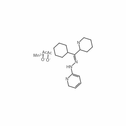 C1=CC[N-]C(N/N=C(\C2CCCCC2)C2CCCC[N-]2)=C1.CC(=O)[O-].CC(=O)[O-].[Mn+2]